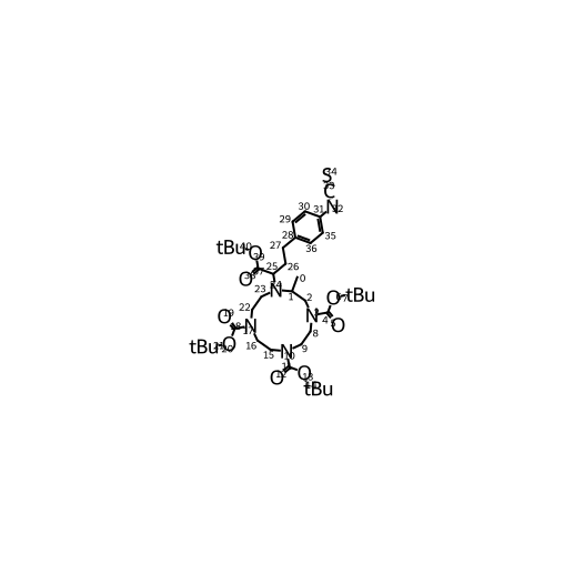 CC1CN(C(=O)OC(C)(C)C)CCN(C(=O)OC(C)(C)C)CCN(C(=O)OC(C)(C)C)CCN1C(CCc1ccc(N=C=S)cc1)C(=O)OC(C)(C)C